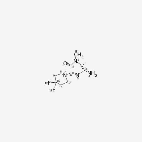 Cn1cc(N)nc(N2CCC(F)(F)CC2)c1=O